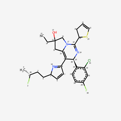 C[C@@H](F)CCC1C=CC(C2=C3CC(O)(CC#N)CN3C(C3CC=CS3)=N[C@H]2c2ccc(F)cc2Cl)=N1